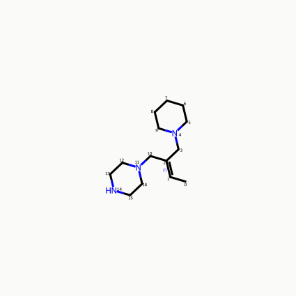 C/C=C(\CN1CCCCC1)CN1CCNCC1